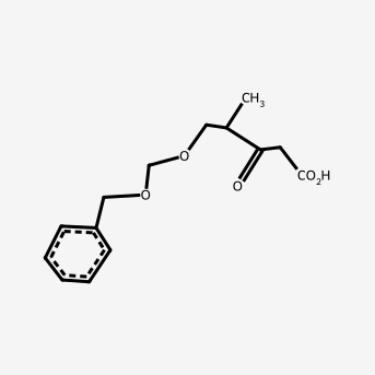 CC(COCOCc1ccccc1)C(=O)CC(=O)O